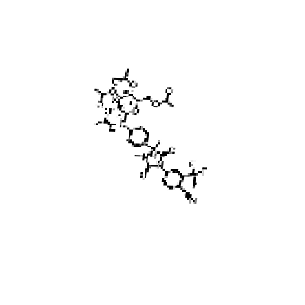 CC(=O)OC[C@H]1O[C@@H](Oc2ccc([C@]3(C)C(=O)N(c4ccc(C#N)c(C(F)(F)F)c4)C(=O)N3C)cc2)[C@H](OC(C)=O)[C@@H](OC(C)=O)[C@@H]1OC(C)=O